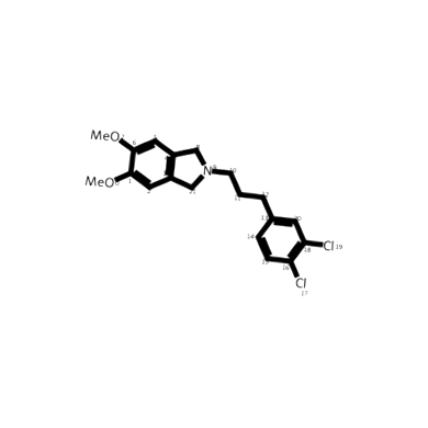 COc1cc2c(cc1OC)CN(CCCc1ccc(Cl)c(Cl)c1)C2